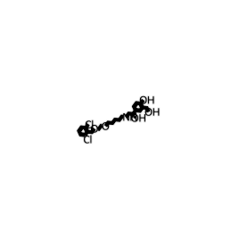 OCc1cc([C@@H](O)CNCCCCCOCCOCc2c(Cl)cccc2Cl)ccc1O